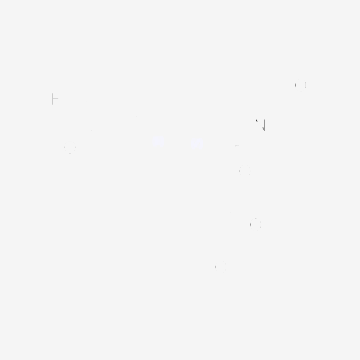 COc1ccc(C(=C\C(=O)N2CCOCC2)/C=C/c2ccc(F)c(Oc3ccccc3)c2)cc1OC